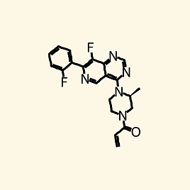 C=CC(=O)N1CCN(c2ncnc3c(F)c(-c4ccccc4F)ncc23)[C@@H](C)C1